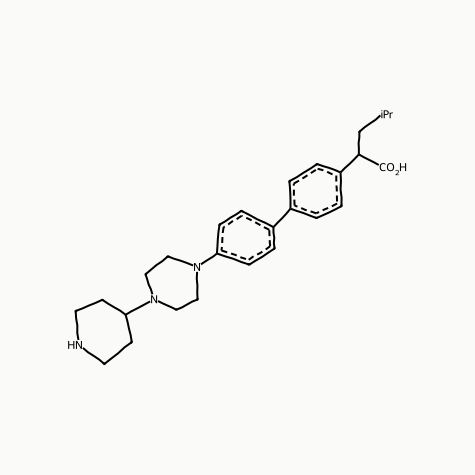 CC(C)CC(C(=O)O)c1ccc(-c2ccc(N3CCN(C4CCNCC4)CC3)cc2)cc1